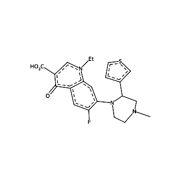 CCn1cc(C(=O)O)c(=O)c2cc(F)c(N3CCN(C)CC3c3ccsc3)cc21